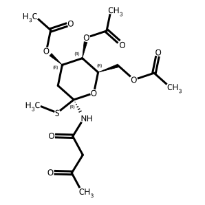 CS[C@@]1(NC(=O)CC(C)=O)C[C@@H](OC(C)=O)[C@@H](OC(C)=O)[C@@H](COC(C)=O)O1